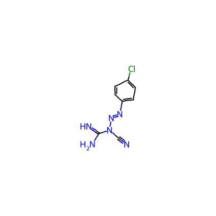 N#CN(N=Nc1ccc(Cl)cc1)C(=N)N